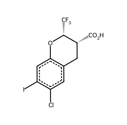 O=C(O)[C@@H]1Cc2cc(Cl)c(I)cc2O[C@@H]1C(F)(F)F